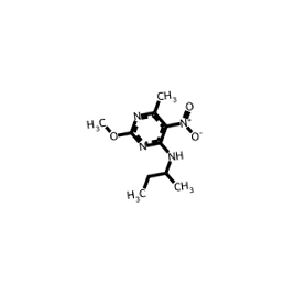 CCC(C)Nc1nc(OC)nc(C)c1[N+](=O)[O-]